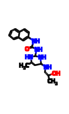 CC(O)CNC1CC(C)NC(NC(=O)Nc2ccc3ccccc3c2)N1